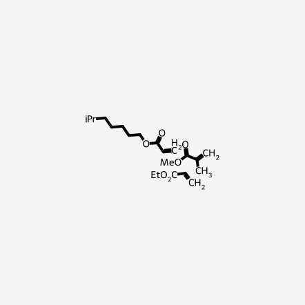 C=C(C)C(=O)OC.C=CC(=O)OCC.C=CC(=O)OCCCCCC(C)C